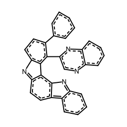 c1ccc(-c2ccc3c(c2-c2cnc4ccccc4n2)-c2c4c(ccc2=N3)=c2ccccc2=N4)cc1